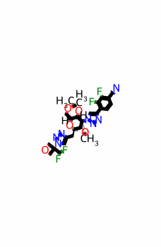 CO[C@@H]1C(n2cc(-c3ccc(C#N)c(F)c3F)nn2)[C@H]2OC(C)(C)OC[C@H]2O[C@@H]1Cc1cn(C2(C(F)F)COC2)nn1